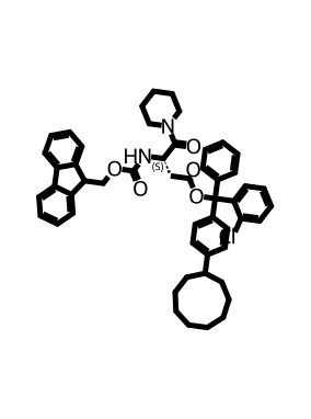 O=C(C[C@H](NC(=O)OCC1c2ccccc2-c2ccccc21)C(=O)N1CCCCC1)OC(c1ccccc1)(c1ccc(C2CCCCCCCC2)cc1)c1ccccc1Cl